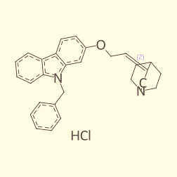 C(/COc1ccc2c3ccccc3n(Cc3ccccc3)c2c1)=C1/CN2CCC1CC2.Cl